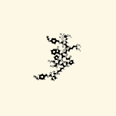 CN(C)CCCC[C@H](NC(=O)[C@H](CSSC(C)(C)C)NC(=O)OCc1ccc(N=[N+]=[N-])cc1)C(=O)N[C@@H](Cc1c[nH]c2ccccc12)C(=O)OCC(=O)N1CCC[C@H]1C(=O)N[C@@H](CCCCNC(=O)[C@@H]1CSCN1C(=O)OCc1ccc(N=[N+]=[N-])cc1)C(=O)N[C@@H](CC(=O)O)C(=O)N1CCC[C@H]1C(N)=O